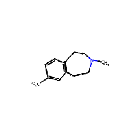 CN1CCc2ccc(C(=O)O)cc2CC1